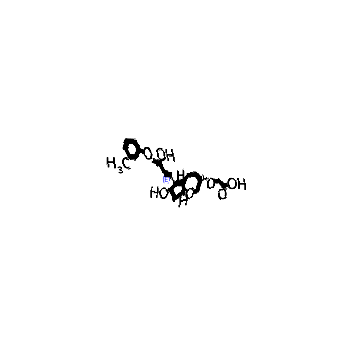 Cc1cccc(OC[C@H](O)/C=C/[C@@H]2[C@H]3CC[C@H](COCC(=O)O)CO[C@H]3C[C@H]2O)c1